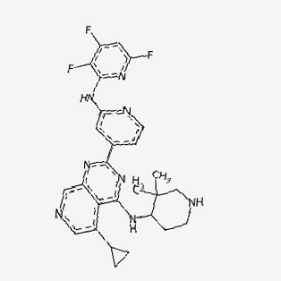 CC1(C)CNCCC1Nc1nc(-c2ccnc(Nc3nc(F)cc(F)c3F)c2)nc2cncc(C3CC3)c12